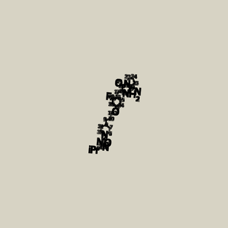 CC(C)c1noc(N2CCC(CCCOc3ccc(CC(N)C(=O)N4CCCC4C#N)c(F)c3)CC2)n1